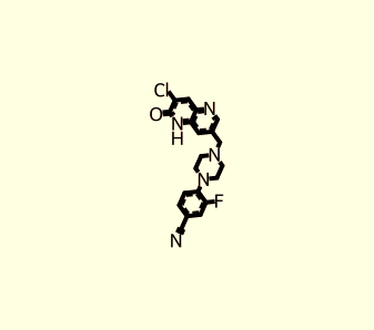 N#Cc1ccc(N2CCN(Cc3cnc4cc(Cl)c(=O)[nH]c4c3)CC2)c(F)c1